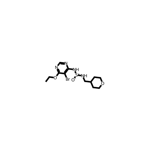 CCOc1ncnc(N[S+]([O-])NCC2CCOCC2)c1Br